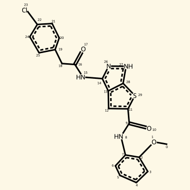 COc1ccccc1NC(=O)c1cc2c(NC(=O)Cc3ccc(Cl)cc3)n[nH]c2s1